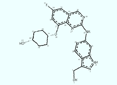 OCc1n[nH]c2cc(Nc3ncc4cc(F)cc(O[C@H]5CC[C@@H](O)CC5)c4n3)ccc12